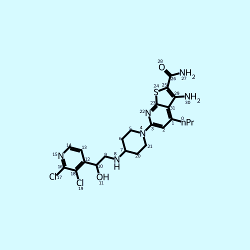 CCCc1cc(N2CCC(NCC(O)c3ccnc(Cl)c3Cl)CC2)nc2sc(C(N)=O)c(N)c12